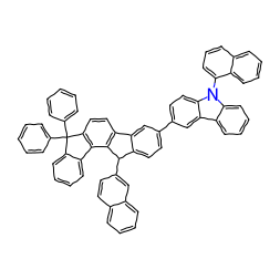 c1ccc(C2(c3ccccc3)c3ccccc3-c3c2ccc2c3C(c3ccc4ccccc4c3)c3ccc(-c4ccc5c(c4)c4ccccc4n5-c4cccc5ccccc45)cc3-2)cc1